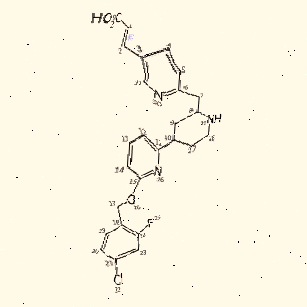 O=C(O)/C=C/c1ccc(CC2CC(c3cccc(OCc4ccc(Cl)cc4F)n3)CCN2)nc1